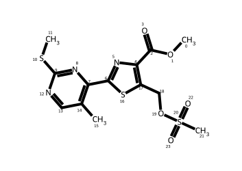 COC(=O)c1nc(-c2nc(SC)ncc2C)sc1COS(C)(=O)=O